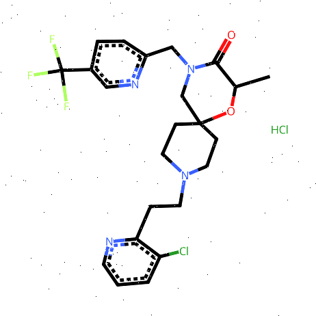 CC1OC2(CCN(CCc3ncccc3Cl)CC2)CN(Cc2ccc(C(F)(F)F)cn2)C1=O.Cl